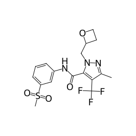 Cc1nn(CC2CCO2)c(C(=O)Nc2cccc(S(C)(=O)=O)c2)c1C(F)(F)F